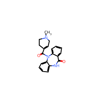 CN1CC=C(C(=O)N2c3ccccc3NC(=O)c3ccccc32)CC1